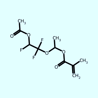 C=C(C)C(=O)OC(C)OC(F)(F)C(F)OC(C)=O